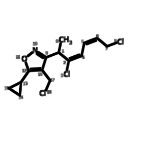 CC(/C(Cl)=C\C=C/CCl)c1noc(C2CC2)c1CCl